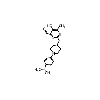 Cc1nc(CC2CCN(c3ccc(C(C)C)cc3)CC2)nc([C]=O)c1O